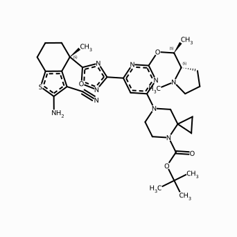 C[C@H](Oc1nc(-c2noc([C@@]3(C)CCCc4sc(N)c(C#N)c43)n2)cc(N2CCN(C(=O)OC(C)(C)C)C3(CC3)C2)n1)[C@@H]1CCCN1C